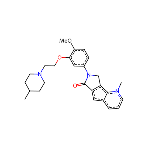 COc1ccc(N2Cc3c(cc4cccn(C)c3-4)C2=O)cc1OCCN1CCC(C)CC1